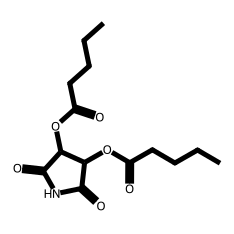 CCCCC(=O)OC1C(=O)NC(=O)C1OC(=O)CCCC